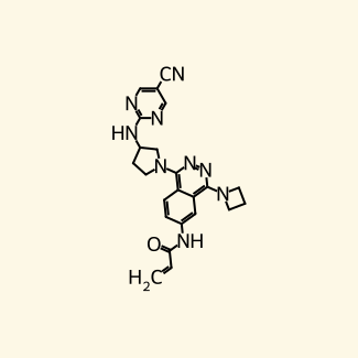 C=CC(=O)Nc1ccc2c(N3CCC(Nc4ncc(C#N)cn4)C3)nnc(N3CCC3)c2c1